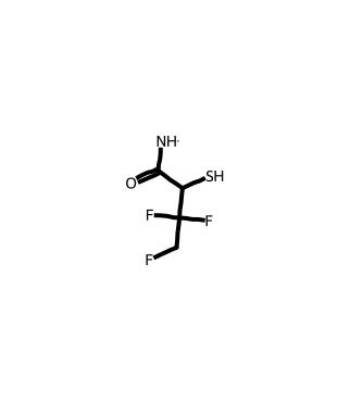 [NH]C(=O)C(S)C(F)(F)CF